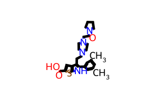 Cc1cc(C)cc(-c2[nH]c3sc(C(=O)O)cc3c2CCN2CCN(CC(=O)N3CCCC3)CC2)c1